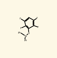 C[CH](C)[Al]([O]c1c(F)c(F)[c]c(F)c1F)[CH](C)C